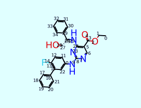 CCOC(=O)c1cnc(Nc2ccc(F)c(-c3ccccc3)c2)nc1N[C@H](CO)c1ccccc1